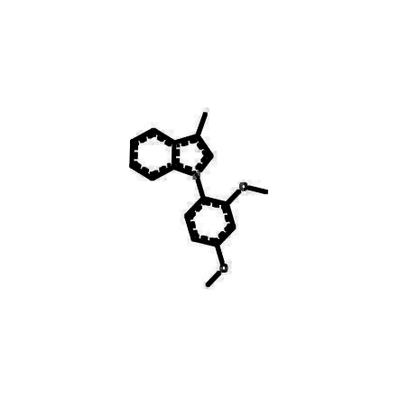 COc1ccc(-n2cc(C)c3ccccc32)c(OC)c1